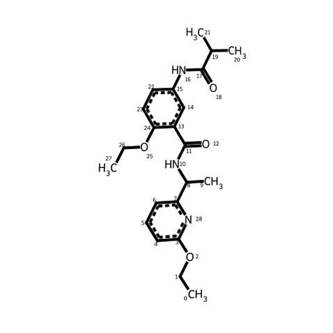 CCOc1cccc(C(C)NC(=O)c2cc(NC(=O)C(C)C)ccc2OCC)n1